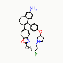 Cc1nc2c(o1)CC=C(C1=C(c3ccc(OC4CCN(CCCF)C4)cc3)c3ccc(N)cc3CCC1)C=C2